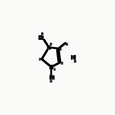 CCN1C=C(C)N(CC)C1.I